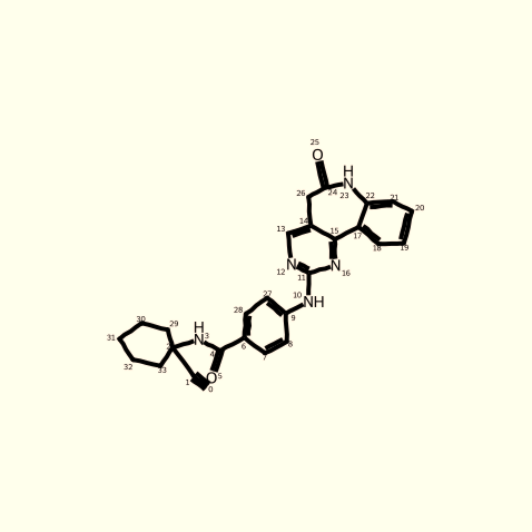 C#CC1(NC(=O)c2ccc(Nc3ncc4c(n3)-c3ccccc3NC(=O)C4)cc2)CCCCC1